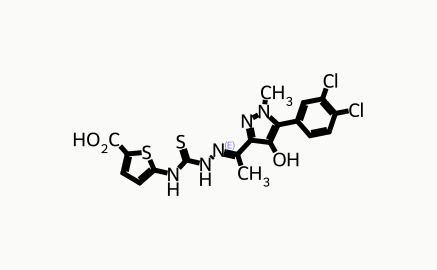 C/C(=N\NC(=S)Nc1ccc(C(=O)O)s1)c1nn(C)c(-c2ccc(Cl)c(Cl)c2)c1O